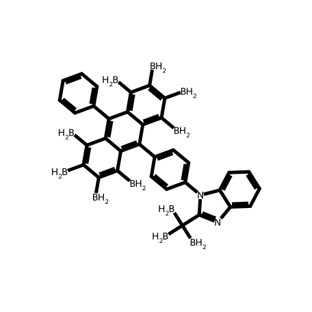 Bc1c(B)c(B)c2c(-c3ccc(-n4c(C(B)(B)B)nc5ccccc54)cc3)c3c(B)c(B)c(B)c(B)c3c(-c3ccccc3)c2c1B